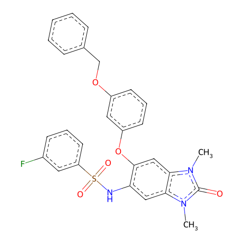 Cn1c(=O)n(C)c2cc(Oc3cccc(OCc4ccccc4)c3)c(NS(=O)(=O)c3cccc(F)c3)cc21